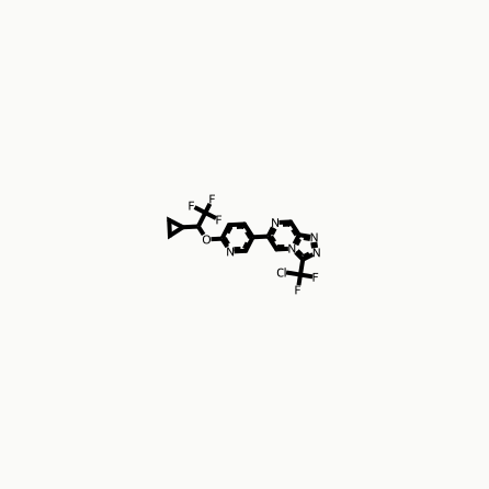 FC(F)(Cl)c1nnc2cnc(-c3ccc(OC(C4CC4)C(F)(F)F)nc3)cn12